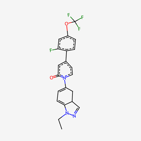 CCN1N=CC2CC(n3ccc(-c4ccc(OC(F)(F)F)cc4F)cc3=O)=CC=C21